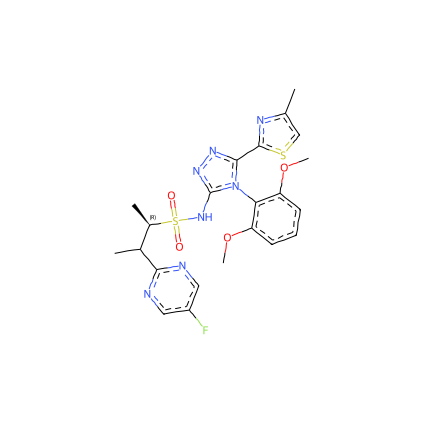 COc1cccc(OC)c1-n1c(NS(=O)(=O)[C@H](C)C(C)c2ncc(F)cn2)nnc1-c1nc(C)cs1